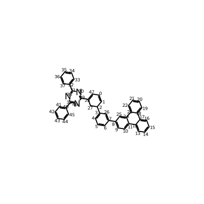 C1=CC(c2cccc(-c3ccc4c5ccccc5c5ccccc5c4c3)c2)CC(c2nc(-c3ccccc3)nc(-c3ccccc3)n2)=C1